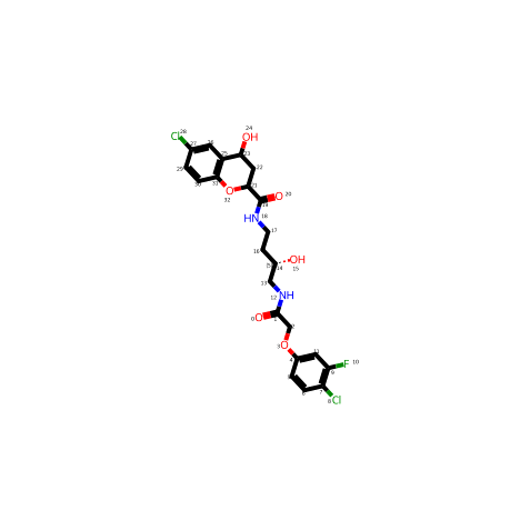 O=C(COc1ccc(Cl)c(F)c1)NC[C@@H](O)CCNC(=O)C1CC(O)c2cc(Cl)ccc2O1